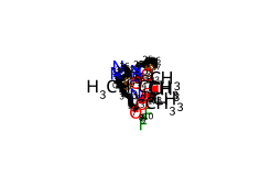 Cc1c(CC(CCOC(F)F)NC(=O)OC(C)(C)C)sc2c(N(Cc3cccs3)C(=O)OC(C)(C)C)cnnc12